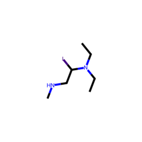 CCN(CC)C(I)CNC